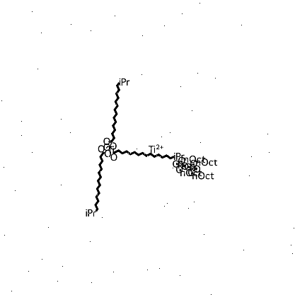 CC(C)CCCCCCCCCCCCCCC(=O)[O][Ti](=[O])([O]C(=O)CCCCCCCCCCCCCCC(C)C)[C](=O)CCCCCCCC[CH]([Ti+2])CCCCCC(C)C.CCCCCCCCOP(=O)([O-])OCCCCCCCC.CCCCCCCCOP(=O)([O-])OCCCCCCCC